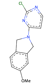 COc1ccc2c(c1)CN(c1ccnc(Cl)n1)C2